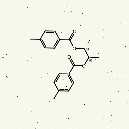 Cc1ccc(C(=O)O[C@H](C)[C@@H](C)OC(=O)c2ccc(C)cc2)cc1